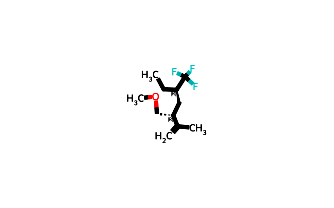 C=C(C)[C@H](COC)C[C@@H](CC)C(F)(F)F